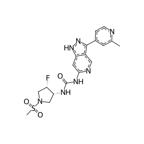 Cc1cc(-c2n[nH]c3cc(NC(=O)N[C@@H]4CN(S(C)(=O)=O)C[C@@H]4F)ncc23)ccn1